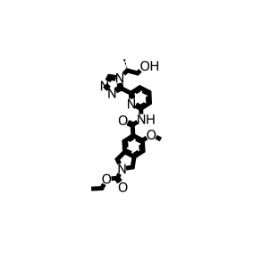 CCOC(=O)N1Cc2cc(OC)c(C(=O)Nc3cccc(-c4nncn4[C@H](C)CO)n3)cc2C1